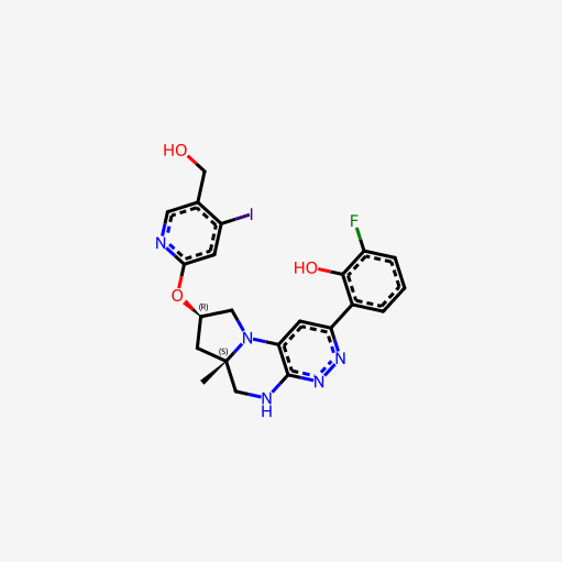 C[C@]12CNc3nnc(-c4cccc(F)c4O)cc3N1C[C@H](Oc1cc(I)c(CO)cn1)C2